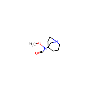 CON(C=O)C12CCCN(CC1)C2